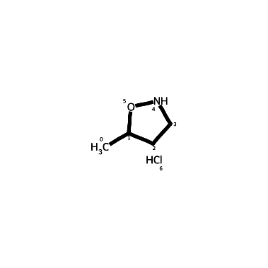 CC1CCNO1.Cl